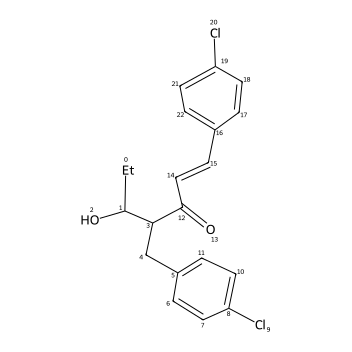 CCC(O)C(Cc1ccc(Cl)cc1)C(=O)C=Cc1ccc(Cl)cc1